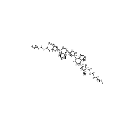 CCCCCCc1cc(-c2ccc(-c3ccc(-c4ccc(-c5cc(CCCCCC)c(Br)s5)c5nsnc45)s3)c3nsnc23)sc1Br